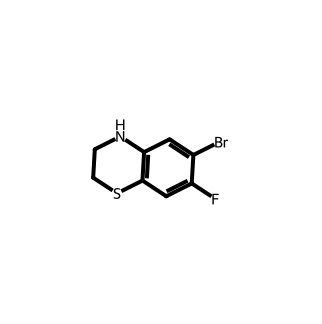 Fc1cc2c(cc1Br)NCCS2